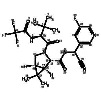 CC(C)(C)[C@H](NC(=O)C(F)(F)F)C(=O)N1C[C@H]2[C@@H]([C@H]1C(=O)NC(C#N)c1cncc(F)c1)C2(C)C